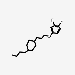 CCCCC1CCC(CCCOc2ccc(F)c(F)c2)CC1